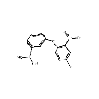 O=[N+]([O-])c1cc(F)ccc1Oc1cccc(B(O)O)c1